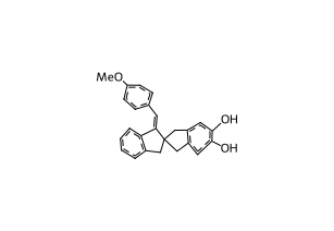 COc1ccc(C=C2c3ccccc3CC23Cc2cc(O)c(O)cc2C3)cc1